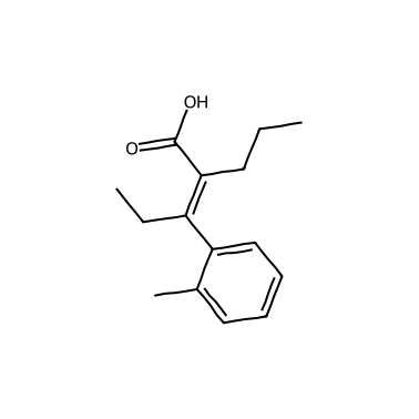 CCC/C(C(=O)O)=C(/CC)c1ccccc1C